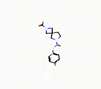 CCC(=O)N1CC2(CCN(C(=O)Nc3ccc(OC(F)(F)F)cc3)C2)C1